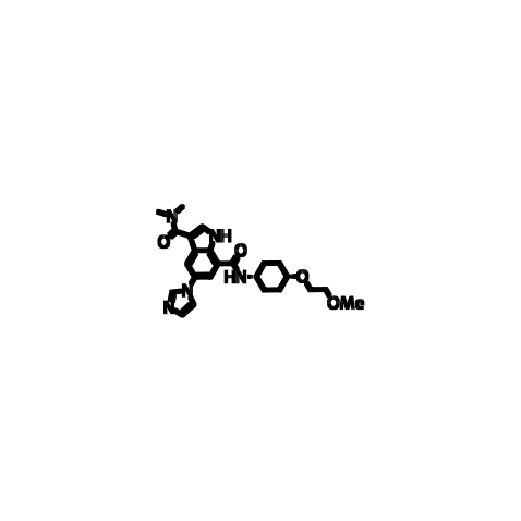 COCCO[C@H]1CC[C@H](NC(=O)c2cc(-n3ccnc3)cc3c(C(=O)N(C)C)c[nH]c23)CC1